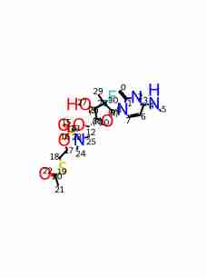 C=C1N=C(NC)C=CN1[C@@H]1O[C@H](COP(=O)(OCCSC(C)=O)N(C)C)[C@H](O)C1(C)F